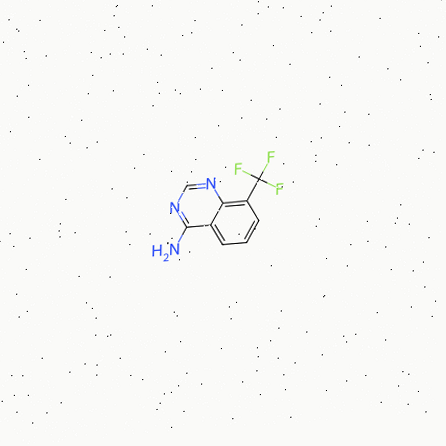 Nc1ncnc2c(C(F)(F)F)cccc12